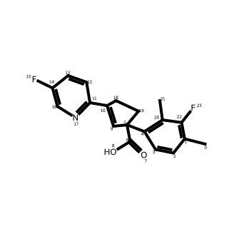 Cc1ccc(C2(C(=O)O)C=C(c3ccc(F)cn3)CC2)c(C)c1F